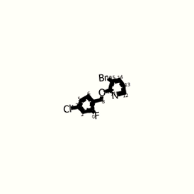 Fc1cc(Cl)ccc1COc1ncccc1Br